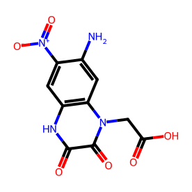 Nc1cc2c(cc1[N+](=O)[O-])[nH]c(=O)c(=O)n2CC(=O)O